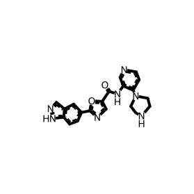 O=C(Nc1cnccc1N1CCNCC1)c1cnc(-c2ccc3[nH]ncc3c2)o1